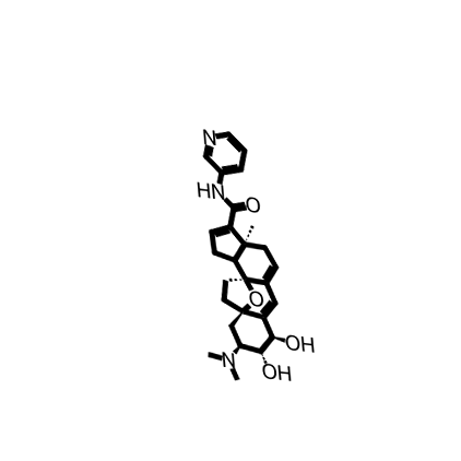 CN(C)[C@H]1C[C@@]23CC[C@@]4(O2)C(=CC[C@]2(C)C(C(=O)Nc5cccnc5)=CCC24)C=C3[C@@H](O)[C@@H]1O